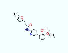 COc1cccc(-c2ccc(NC(=O)CCC3CC=C(C)O3)nc2)c1OC